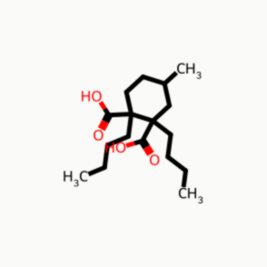 CCCCC1(C(=O)O)CCC(C)CC1(CCCC)C(=O)O